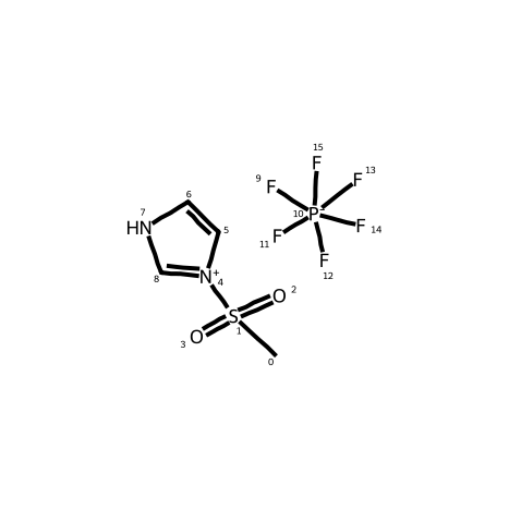 CS(=O)(=O)[n+]1cc[nH]c1.F[P-](F)(F)(F)(F)F